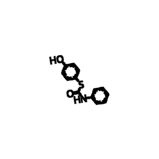 O=C(Nc1ccccc1)Sc1ccc(O)cc1